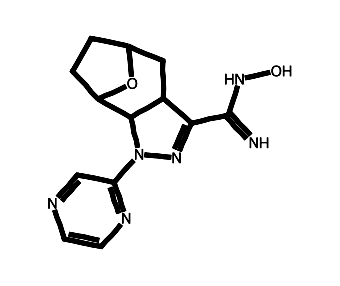 N=C(NO)C1=NN(c2cnccn2)C2C3CCC(CC12)O3